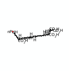 CCCNCCCCCCCC(NCCNCCCNCCNCCNCCCCCCCCNCCCC(NCNC(CCC(=O)O)C(=O)O)C(=O)O)C(=O)O